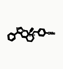 C#C[C@]12Cn3cnc(-c4ccccc4)c3C=C1CCC[C@@H]2Cc1ccc(OC)cc1